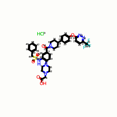 Cl.O=C(O)CN1CCN(c2ccc(C(=O)N3CCC(c4ccc(Oc5ccc(C(F)(F)F)nn5)cc4)CC3)cc2NS(=O)(=O)Cc2ccccc2)CC1